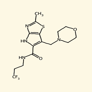 Cc1nc2[nH]c(C(=O)NCCC(F)(F)F)c(CN3CCOCC3)c2s1